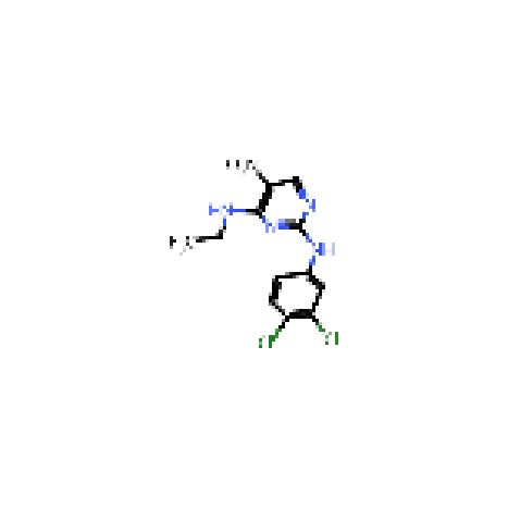 O=[N+]([O-])c1cnc(Nc2ccc(Cl)c(Cl)c2)nc1NCC(F)(F)F